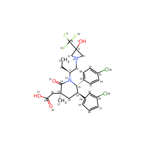 CC[C@@H](CN1CC(O)(C(F)(F)F)C1)N1C(=O)[C@](C)(CC(=O)O)C[C@H](c2cccc(Cl)c2)[C@H]1c1ccc(Cl)cc1